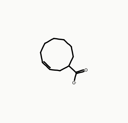 [O]C(=O)C1C/C=C\CCCCCC1